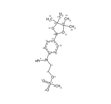 CCCN(CCOS(C)(=O)=O)c1ccc(B2OC(C)(C)C(C)(C)O2)cc1